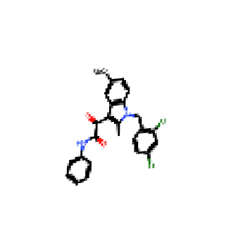 COc1ccc2c(c1)c(C(=O)C(=O)Nc1ccccc1)c(C)n2Cc1ccc(Cl)cc1Cl